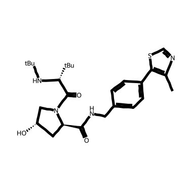 Cc1ncsc1-c1ccc(CNC(=O)[C@H]2C[C@H](O)CN2C(=O)[C@H](NC(C)(C)C)C(C)(C)C)cc1